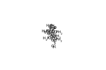 CC(=O)C(C)CC=CCOC1OC(COP)[C@@H](O[C@@H]2OC(COP)[C@H](O[C@H]3OC(COP)[C@H](OP)[C@H](OP)C3P=O)[C@H](OP)C2P=O)[C@H](OP)C1OP